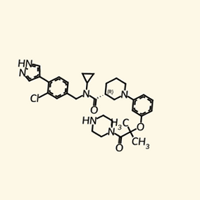 CC(C)(Oc1cccc(N2CCC[C@@H](C(=O)N(Cc3ccc(-c4cn[nH]c4)c(Cl)c3)C3CC3)C2)c1)C(=O)N1CCNCC1